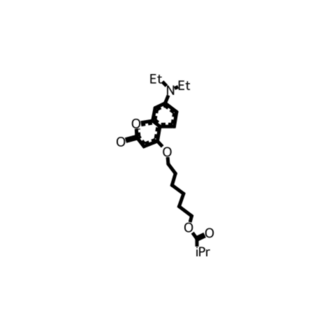 CCN(CC)c1ccc2c(OCCCCCCOC(=O)C(C)C)cc(=O)oc2c1